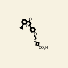 O=C(O)C1CC(OCCOc2ccc(-c3cc(=O)c4cccc(C5CC5)c4o3)cc2)C1